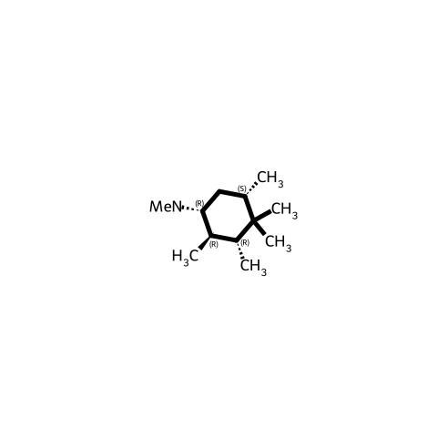 CN[C@@H]1C[C@H](C)C(C)(C)[C@H](C)[C@H]1C